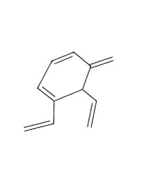 C=CC1=CC=CC(=C)C1C=C